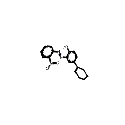 O=[N+]([O-])c1ccccc1/N=N/c1cc(C2CCCCC2)ccc1O